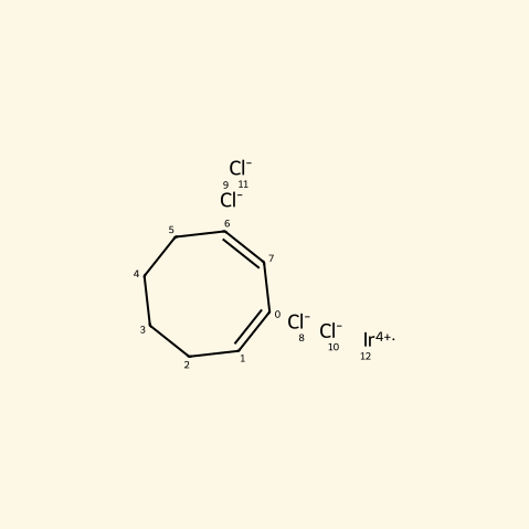 C1=C\CCCC\C=C/1.[Cl-].[Cl-].[Cl-].[Cl-].[Ir+4]